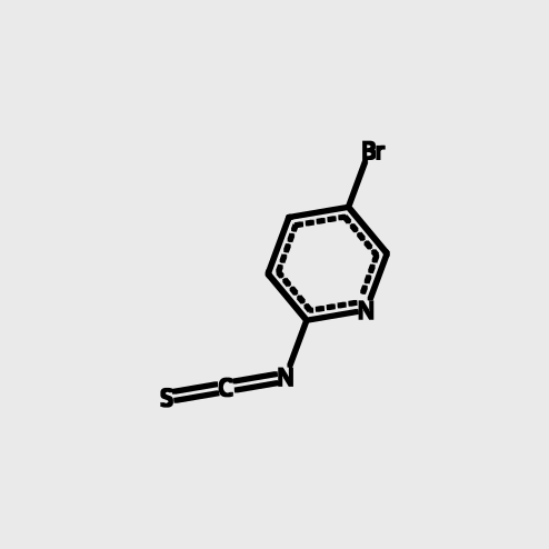 S=C=Nc1ccc(Br)cn1